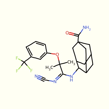 CC(C)(Oc1cccc(C(F)(F)F)c1)/C(=N\C#N)NC1C2CC3CC1CC(C(N)=O)(C3)C2